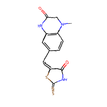 CN1CC(=O)Nc2cc(/C=C3/SC(=S)NC3=O)ccc21